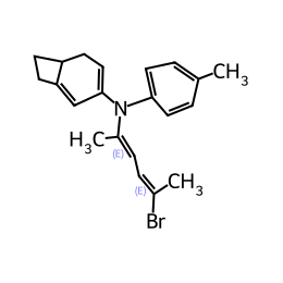 C/C(Br)=C\C=C(/C)N(C1=CCC2CCC2=C1)c1ccc(C)cc1